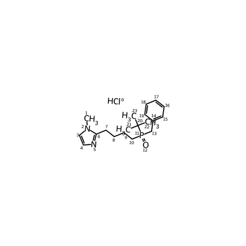 Cl.Cn1ccnc1CCCCP(=O)(Cc1ccccc1)C(C)(C)C